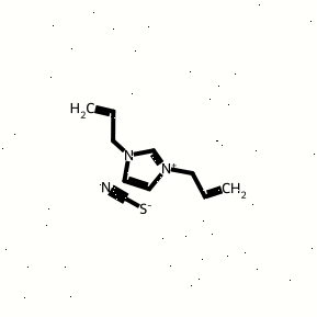 C=CCn1cc[n+](CC=C)c1.N#C[S-]